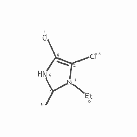 CCN1C(Cl)=C(Cl)NC1C